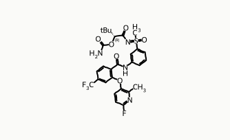 Cc1nc(F)ccc1Oc1cc(C(F)(F)F)ccc1C(=O)Nc1cccc(S(C)(=O)=NC(=O)[C@H](OC(N)=O)C(C)(C)C)c1